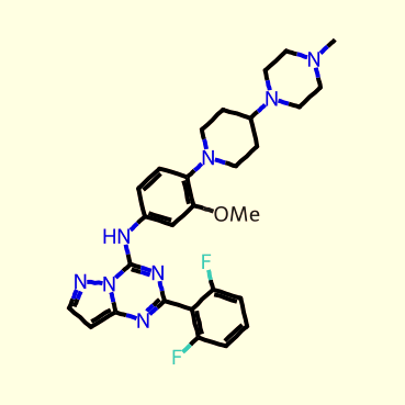 COc1cc(Nc2nc(-c3c(F)cccc3F)nc3ccnn23)ccc1N1CCC(N2CCN(C)CC2)CC1